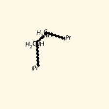 C=C(CCCCCCCCCCC(C)C)NCCCCCC(=C)NCCCCCCCCCCCCC(C)C